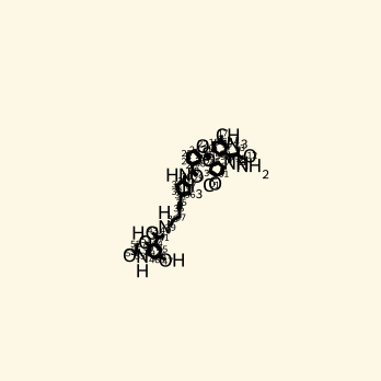 COc1cccc(Nc2c(C(N)=O)cnc3c(C)cc(S(=O)(=O)c4cccc(C(=O)Nc5ccc(C#CCCCNCC(O)c6cc(O)cc7c6OCC(=O)N7)cc5)c4)cc23)c1